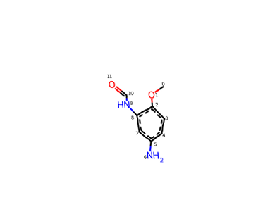 COc1ccc(N)cc1NC=O